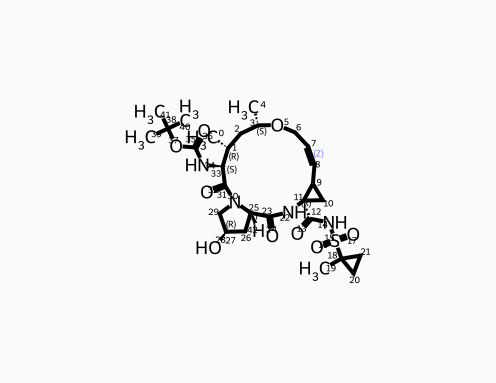 C[C@@H]1C[C@H](C)OC/C=C\C2C[C@@]2(C(=O)NS(=O)(=O)C2(C)CC2)NC(=O)[C@@H]2C[C@@H](O)CN2C(=O)[C@H]1NC(=O)OC(C)(C)C